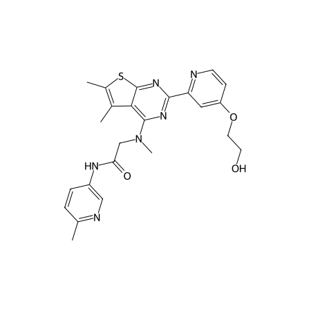 Cc1ccc(NC(=O)CN(C)c2nc(-c3cc(OCCO)ccn3)nc3sc(C)c(C)c23)cn1